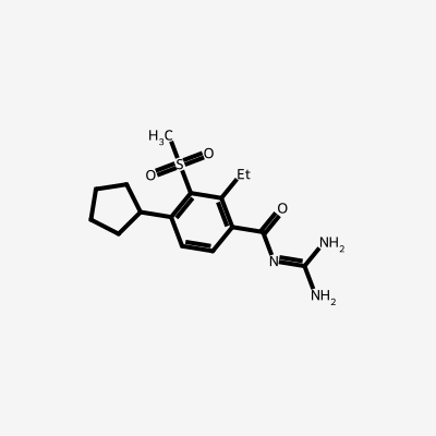 CCc1c(C(=O)N=C(N)N)ccc(C2CCCC2)c1S(C)(=O)=O